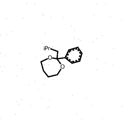 CC(C)CC1(c2ccccc2)OCCCCO1